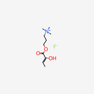 CC=C(O)C(=O)OCCC[N+](C)(C)C.[F-]